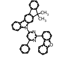 CC1(C)c2ccccc2-c2cc3c4ccccc4n(-c4cc(-c5ccccc5)nc(-c5cccc6oc7ccccc7c56)n4)c3cc21